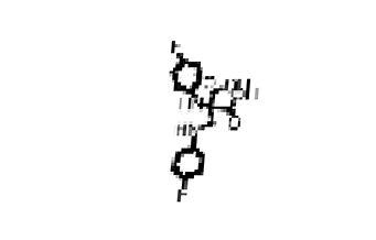 O=C(O)C(CNc1ccc(F)cc1)(Nc1ccc(F)cc1)C(=O)O